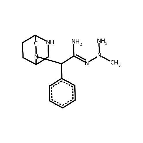 CN(N)/N=C(\N)C(c1ccccc1)N1CC2CCC1CN2